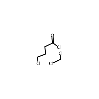 ClCCl.O=C(Cl)CCCCl